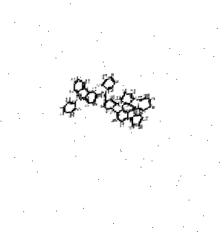 c1ccc(N(c2ccc3c(c2)oc2c(C4(c5ccccc5)c5ccccc5-c5ccccc54)cccc23)c2ccc3c(c2)c2ccccc2n3-c2ccccc2)cc1